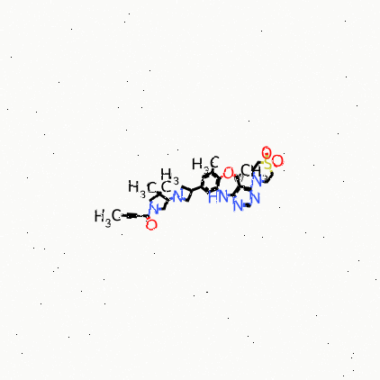 CC#CC(=O)N1CC(N2CC(c3cc(C)c4c(c3)Nc3ncnc(N5CCS(=O)(=O)CC5)c3[C@@H](C)O4)C2)C(C)(C)C1